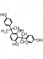 CC(C)(c1ccc(O)cc1)c1ccc(O)c(C(C)(C)c2ccc(O)cc2)c1O